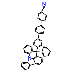 N#Cc1ccc(-c2ccc(-c3ccc(C4(c5ccccc5)c5ccccc5-n5c6ccccc6c6cccc4c65)cc3)cc2)cc1